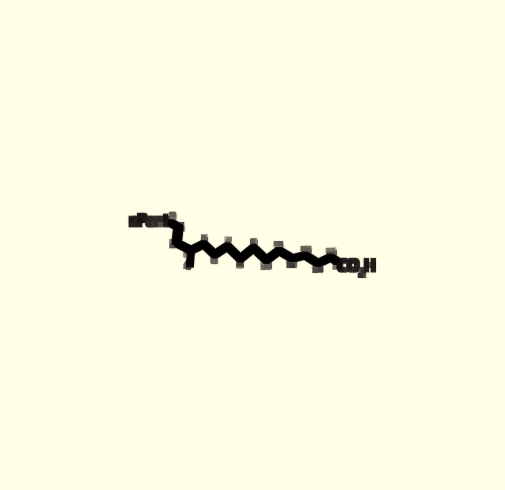 CCCCCC=CC(C)CCCCCCCCCCCC(=O)O